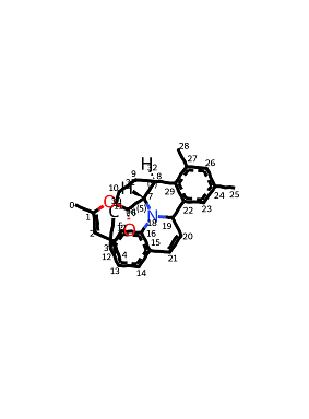 CC1=CC(C)O[C@@H]([C@@H]2[C@H]3CCCc4ccc5c(c4)N2C(C=C5)c2cc(C)cc(C)c23)O1